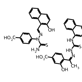 CC(=NNC(=S)Nc1cccc2ccccc12)c1ccc(C(=O)O)cc1O.NC(=S)N(N=Cc1c(O)ccc2ccccc12)c1ccc(C(=O)O)cc1